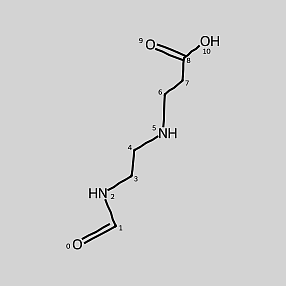 O=CNCCNCCC(=O)O